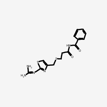 NC(N)=Nc1nc(CSCCC(=O)NC(=O)c2ccccc2)cs1